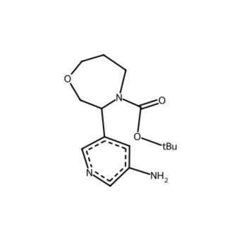 CC(C)(C)OC(=O)N1CCCOCC1c1cncc(N)c1